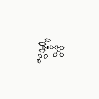 c1ccc(-c2cccc(N(c3ccc(-c4ccc5c(c4)c(-c4ccccc4)c(-c4ccccc4)c4ccccc45)cc3)c3ccc(-c4ccc(-c5ccccc5)cc4-c4ccccc4)cc3)c2)cc1